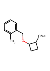 COC1CCC1OCc1ccccc1C